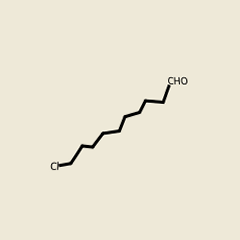 O=CCCCCCCCCCCl